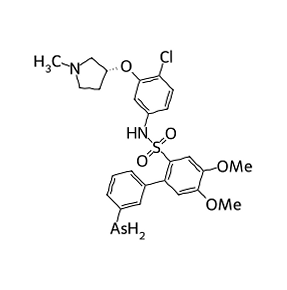 COc1cc(-c2cccc([AsH2])c2)c(S(=O)(=O)Nc2ccc(Cl)c(O[C@@H]3CCN(C)C3)c2)cc1OC